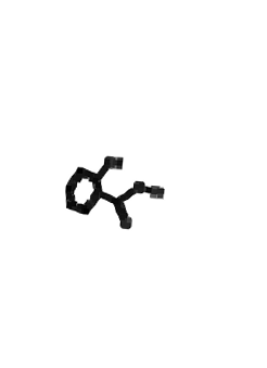 [CH2]COC(=O)c1ccccc1O